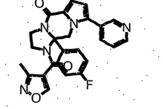 Cc1nocc1C(=O)N1CCN2C(=O)c3ccc(-c4cccnc4)n3CC12c1ccc(F)cc1